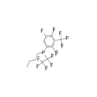 CCCCP(c1cc(F)c(F)c(C(F)(F)F)c1F)C(F)(F)C(F)(F)F